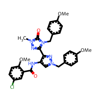 COc1ccc(Cn2cc(NC(=O)c3cc(Cl)ccc3OC)c(-c3nn(C)c(=O)n3Cc3ccc(OC)cc3)n2)cc1